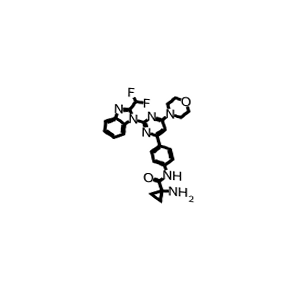 NC1(C(=O)Nc2ccc(-c3cc(N4CCOCC4)nc(-n4c(C(F)F)nc5ccccc54)n3)cc2)CC1